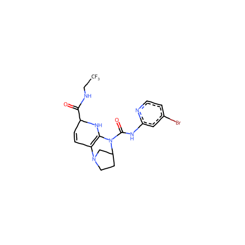 O=C(NCC(F)(F)F)C1C=CC2=C(N1)N(C(=O)Nc1cc(Br)ccn1)C1CCN2C1